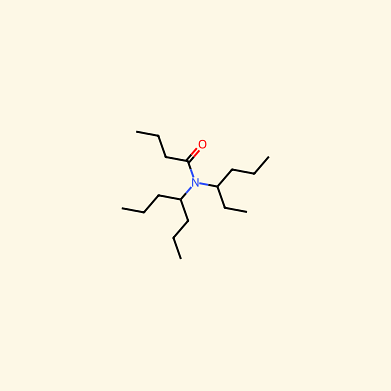 CCCC(=O)N(C(CC)CCC)C(CCC)CCC